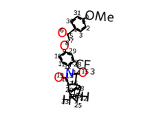 COc1ccc(C(=O)COc2ccc(N3C(=O)C4C(C3=O)C3C=CC4[C@H]4C[C@@H]34)c(C(F)(F)F)c2)cc1